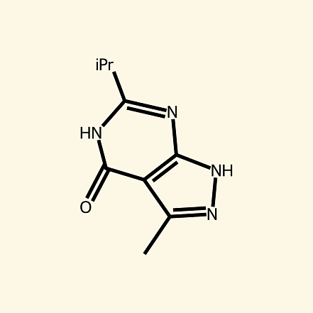 Cc1n[nH]c2nc(C(C)C)[nH]c(=O)c12